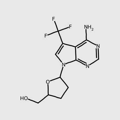 Nc1ncnc2c1c(C(F)(F)F)cn2C1CCC(CO)O1